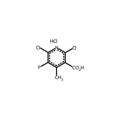 Cc1c(F)c(Cl)nc(Cl)c1C(=O)O.Cl